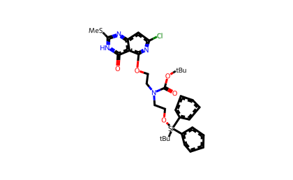 CSc1nc2cc(Cl)nc(OCCN(CCO[Si](c3ccccc3)(c3ccccc3)C(C)(C)C)C(=O)OC(C)(C)C)c2c(=O)[nH]1